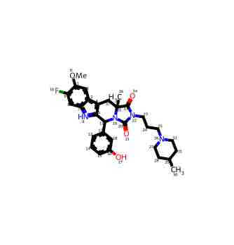 COc1cc2c3c([nH]c2cc1F)C(c1cccc(O)c1)N1C(=O)N(CCCN2CCC(C)CC2)C(=O)C1(C)C3